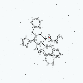 CCN(C[C@H](Cc1ccccc1)N(C(=O)OC)c1cnco1)C[C@H](Cc1ccccc1)N(C(=O)OC)c1cnco1